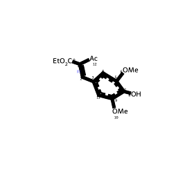 CCOC(=O)/C(=C/c1cc(OC)c(O)c(OC)c1)C(C)=O